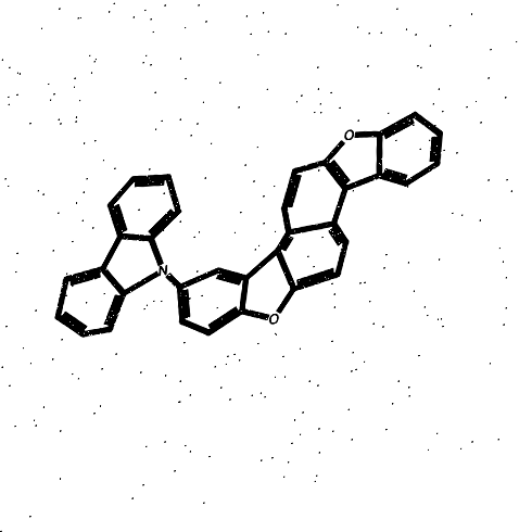 c1ccc2c(c1)oc1ccc3c(ccc4oc5ccc(-n6c7ccccc7c7ccccc76)cc5c43)c12